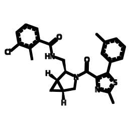 Cc1cccc(-c2sc(C)nc2C(=O)N2C[C@@H]3C[C@@H]3[C@H]2CNC(=O)c2cccc(Cl)c2C)c1